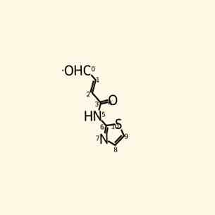 O=[C]/C=C/C(=O)Nc1nccs1